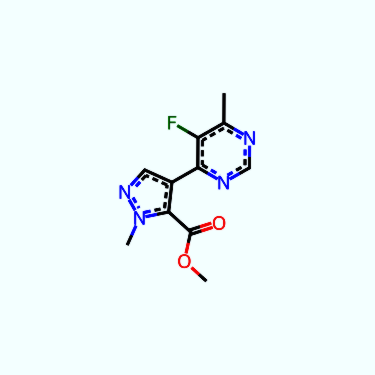 COC(=O)c1c(-c2ncnc(C)c2F)cnn1C